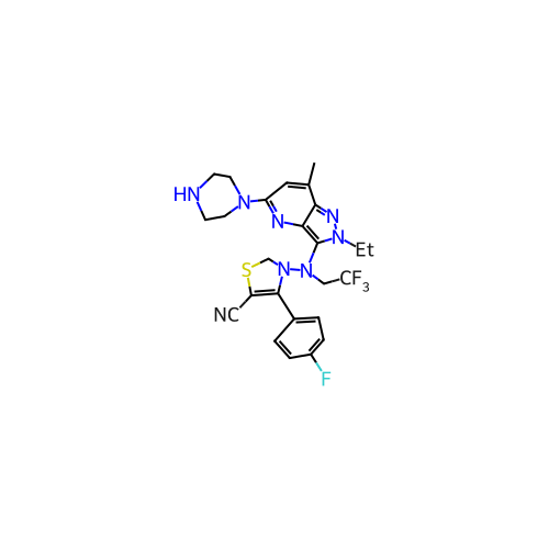 CCn1nc2c(C)cc(N3CCNCC3)nc2c1N(CC(F)(F)F)N1CSC(C#N)=C1c1ccc(F)cc1